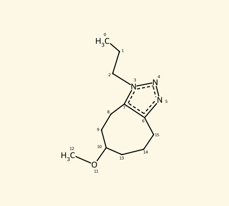 CCCn1nnc2c1CCC(OC)CCC2